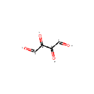 O=[C]C(=O)C(=O)[C]=O